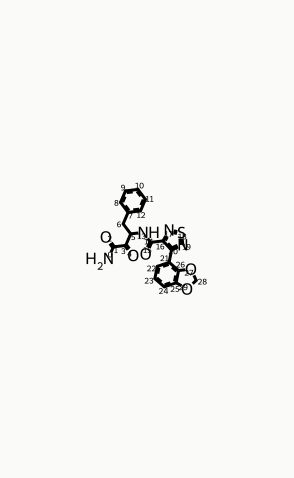 NC(=O)C(=O)C(Cc1ccccc1)NC(=O)c1nsnc1-c1cccc2c1OCO2